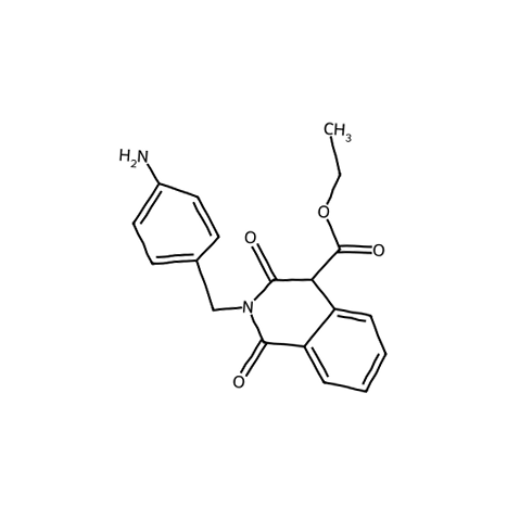 CCOC(=O)C1C(=O)N(Cc2ccc(N)cc2)C(=O)c2ccccc21